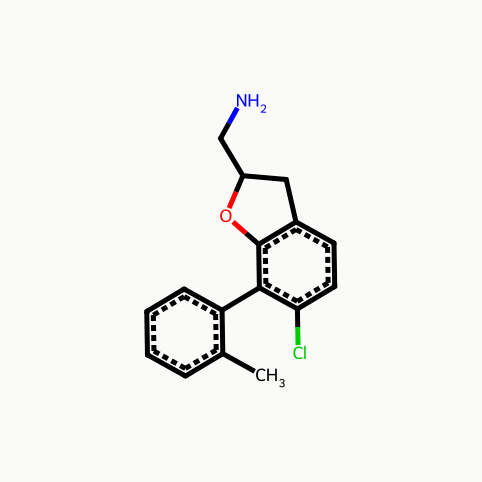 Cc1ccccc1-c1c(Cl)ccc2c1OC(CN)C2